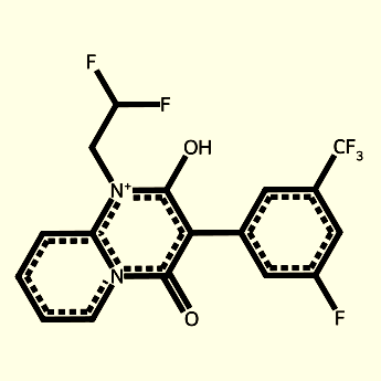 O=c1c(-c2cc(F)cc(C(F)(F)F)c2)c(O)[n+](CC(F)F)c2ccccn12